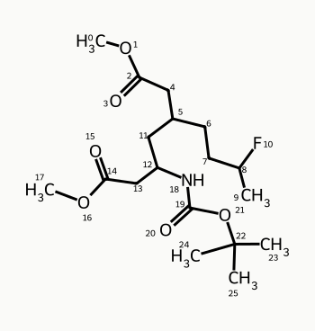 COC(=O)CC(CCC(C)F)CC(CC(=O)OC)NC(=O)OC(C)(C)C